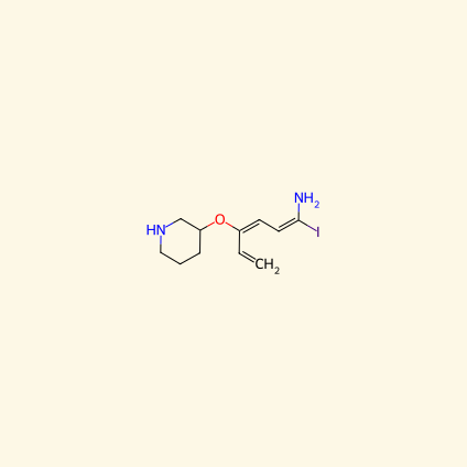 C=C/C(=C\C=C(/N)I)OC1CCCNC1